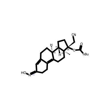 CCCCC(=O)O[C@@]1(CC#N)CC[C@H]2[C@@H]3CCC4=C/C(=N\O)CCC4=C3CC[C@@]21C